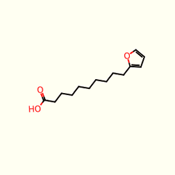 O=C(O)CCCCCCCCCc1ccco1